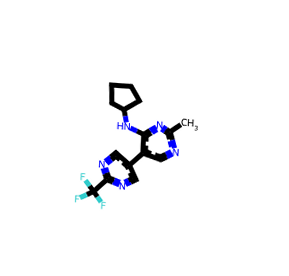 Cc1ncc(-c2cnc(C(F)(F)F)nc2)c(NC2CCCC2)n1